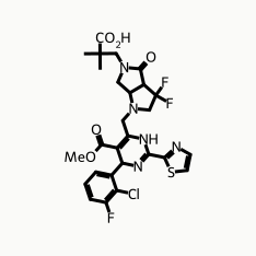 COC(=O)C1=C(CN2CC(F)(F)C3C(=O)N(CC(C)(C)C(=O)O)CC32)NC(c2nccs2)=NC1c1cccc(F)c1Cl